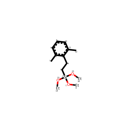 CCO[Si](CCc1c(C)cccc1C)(OCC)OCC